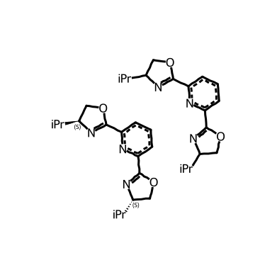 CC(C)C1COC(c2cccc(C3=NC(C(C)C)CO3)n2)=N1.CC(C)[C@H]1COC(c2cccc(C3=N[C@@H](C(C)C)CO3)n2)=N1